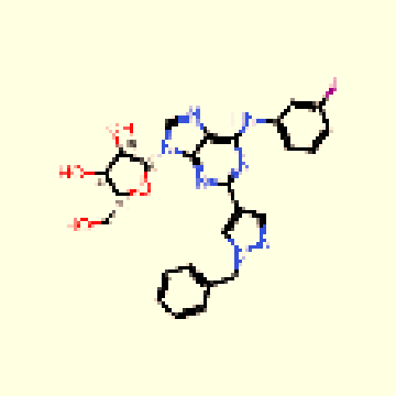 OC[C@H]1O[C@@H](n2cnc3c(Nc4cccc(I)c4)nc(-c4cnn(Cc5ccccc5)c4)nc32)[C@H](O)[C@@H]1O